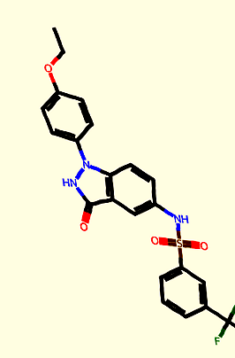 CCOc1ccc(-n2[nH]c(=O)c3cc(NS(=O)(=O)c4cccc(C(F)(F)F)c4)ccc32)cc1